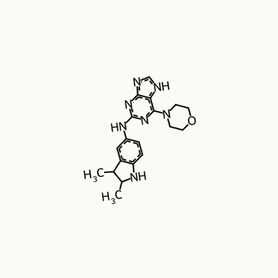 CC1Nc2ccc(Nc3nc(N4CCOCC4)c4[nH]cnc4n3)cc2C1C